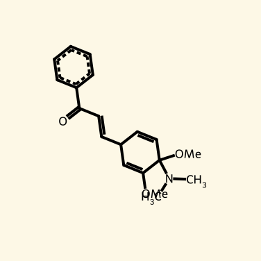 COC1=CC(/C=C/C(=O)c2ccccc2)C=CC1(OC)N(C)C